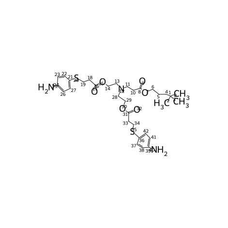 CC(C)(C)CCCOC(=O)CCN(CCOC(=O)CCSc1ccc(N)cc1)CCOC(=O)CCSc1ccc(N)cc1